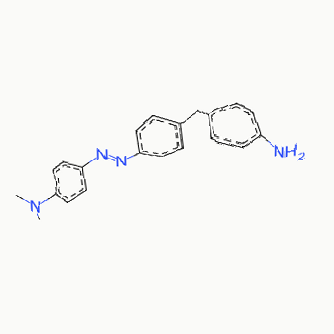 CN(C)c1ccc(N=Nc2ccc(Cc3ccc(N)cc3)cc2)cc1